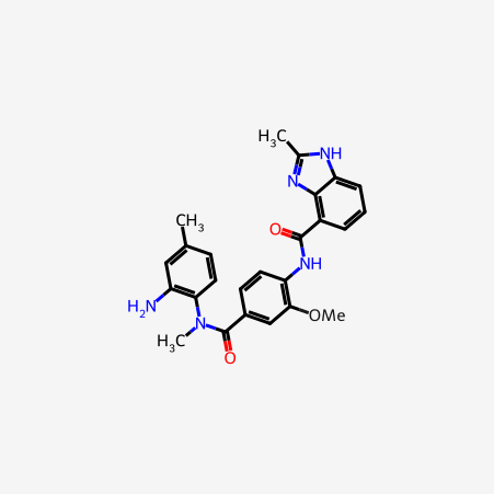 COc1cc(C(=O)N(C)c2ccc(C)cc2N)ccc1NC(=O)c1cccc2[nH]c(C)nc12